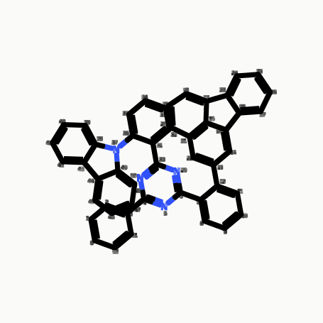 c1ccc(-c2nc(-c3ccccc3-c3cc4c5c(cccc5c3)-c3ccccc3-4)nc(-c3ccccc3-n3c4ccccc4c4ccccc43)n2)cc1